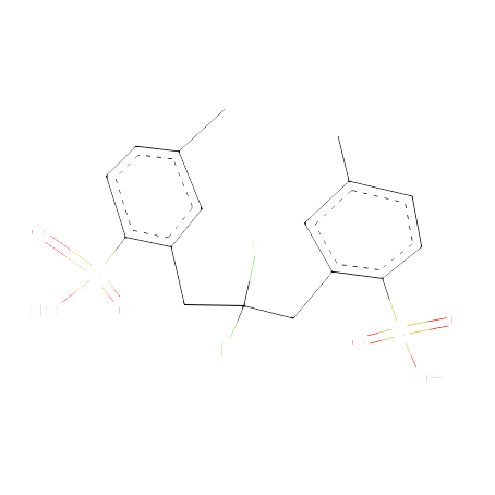 Cc1ccc(S(=O)(=O)O)c(CC(F)(F)Cc2cc(C)ccc2S(=O)(=O)O)c1